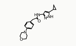 O=C(Cc1ccc(N2CCOCC2)cc1)Nc1cc(C2CC2)[nH]n1